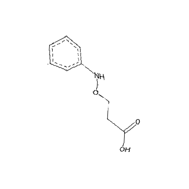 O=C(O)CCONc1c[c]ccc1